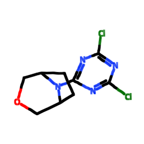 Clc1nc(Cl)nc(N2C3CCC2COC3)n1